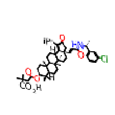 CC(C)C1=C2[C@H]3CCC4[C@@]5(C)CC[C@H](OC(=O)CC(C)(C)C(=O)O)C(C)(C)[C@@H]5CC[C@@]4(C)[C@]3(C)CC[C@@]2(/C=C/C(=O)N[C@H](C)c2cccc(Cl)c2)CC1=O